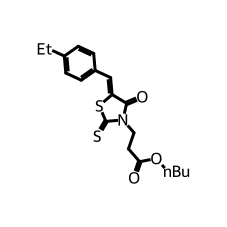 CCCCOC(=O)CCN1C(=O)C(=Cc2ccc(CC)cc2)SC1=S